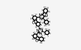 c1ccc(-c2nc(-c3ccc4c(c3)oc3cccc(-c5nc(-c6ccccc6)c6oc7ccccc7c6n5)c34)nc(-c3cccc4oc5ccccc5c34)n2)cc1